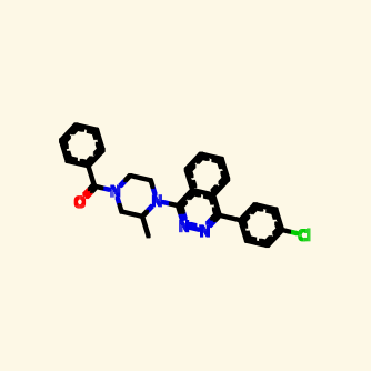 CC1CN(C(=O)c2ccccc2)CCN1c1nnc(-c2ccc(Cl)cc2)c2ccccc12